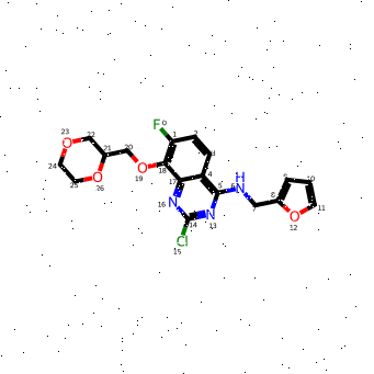 Fc1ccc2c(NCc3ccco3)nc(Cl)nc2c1OCC1COCCO1